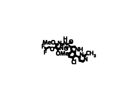 COc1nc(NS(=O)(=O)c2c[nH]c3c(-c4ccnc(C)n4)c(Cl)ccc23)nc(OC)c1OCC(F)F